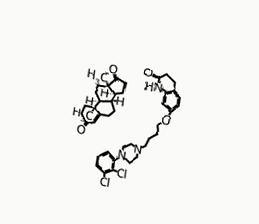 C[C@]12CCC(=O)C=C1CC[C@@H]1[C@@H]2CC[C@]2(C)C(=O)CC[C@@H]12.O=C1CCc2ccc(OCCCCN3CCN(c4cccc(Cl)c4Cl)CC3)cc2N1